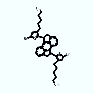 CCCCCCc1cc(Br)sc1C1=c2c3cccc4c3c(c3cccc(c23)C1)=C(c1sc(Br)cc1CCCCCC)C4